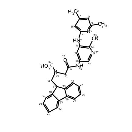 Cc1cc(C)nc(Nc2cc(NC(=O)CN(CC3c4ccccc4-c4ccccc43)C(=O)O)cnc2C#N)c1